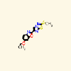 CCOc1ccc2nc(-c3cn4nc(SC)sc4n3)oc2c1